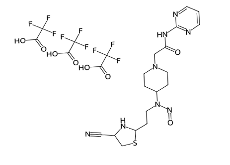 N#CC1CSC(CCN(N=O)C2CCN(CC(=O)Nc3ncccn3)CC2)N1.O=C(O)C(F)(F)F.O=C(O)C(F)(F)F.O=C(O)C(F)(F)F